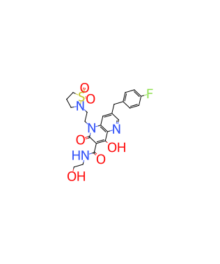 O=C(NCCO)c1c(O)c2ncc(Cc3ccc(F)cc3)cc2n(CCN2CCCS2(=O)=O)c1=O